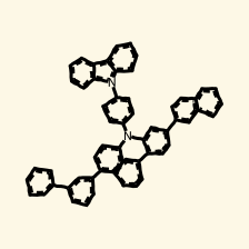 c1ccc(-c2cccc(-c3ccc(N(c4ccc(-n5c6ccccc6c6ccccc65)cc4)c4cc(-c5ccc6ccccc6c5)ccc4-c4ccccc4)cc3)c2)cc1